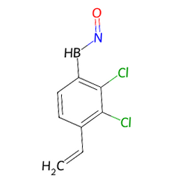 C=Cc1ccc(BN=O)c(Cl)c1Cl